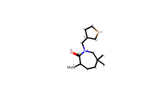 CNC1CCC(C)(C)CN(CC2CCSC2)C1=O